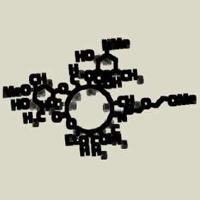 CC[C@H]1OC(=O)[C@H](C)[C@@H](OC2C[C@@](C)(OC)[C@@H](O)[C@H](C)O2)C(C)[C@@H](OC2O[C@H](C)C[C@H](NC)[C@H]2O)[C@](C)(O)C[C@@H](C)/C(=N\OCOCCOC)[C@H](C)[C@@H](O)[C@]1(C)O